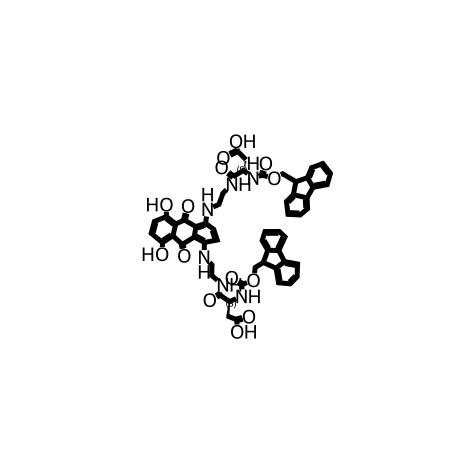 O=C(O)C[C@H](NC(=O)OCC1c2ccccc2-c2ccccc21)C(=O)NCCNc1ccc(NCCNC(=O)[C@H](CC(=O)O)NC(=O)OCC2c3ccccc3-c3ccccc32)c2c1C(=O)c1c(O)ccc(O)c1C2=O